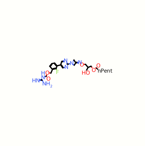 CCCCCC(=O)OCC(CO)CON=C1CN(c2ncc(-c3cccc(COC(=O)NC(=N)N)c3F)cn2)C1